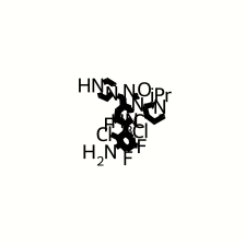 CC(C)C1=NCC[C@@H](C)C1n1c(=O)nc(N2CCNCC2)c2cc(F)c(-c3c(Cl)c(N)c(F)c(F)c3Cl)nc21